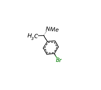 CN[C@@H](C)c1ccc(Br)cc1